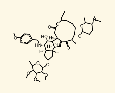 CC[C@H]1CCC[C@H](OC2CC[C@H](N(C)C)C(C)O2)[C@@H](C)C(=O)C2=C[C@H]3[C@@H]4C[C@H](O[C@@H]5OC(C)[C@H](OC)C(OC)C5OC)C[C@H]4[C@@H](NCc4ccc(OC)cc4)[C@@H](O)[C@H]3[C@@H]2CC(=O)O1